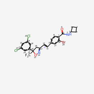 O=C(NC1CCC1)c1ccc(/C=C/C2=NOC(c3cc(Cl)cc(Cl)c3)(C(F)(F)F)C2)cc1Br